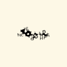 N#CC1(c2ccc(N3C[C@H](CNC(=O)C(F)F)OC3=O)cc2F)CC1